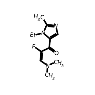 CCn1c(C(=O)/C(F)=C\N(C)C)cnc1C